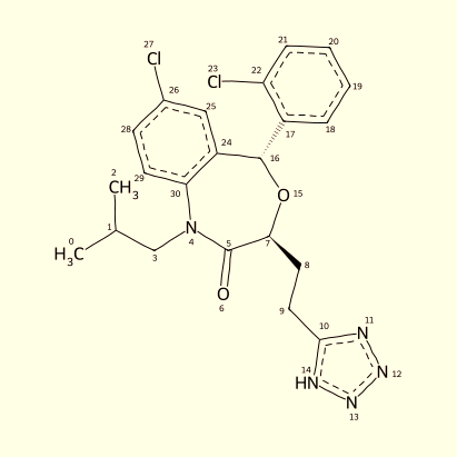 CC(C)CN1C(=O)[C@H](CCc2nnn[nH]2)O[C@@H](c2ccccc2Cl)c2cc(Cl)ccc21